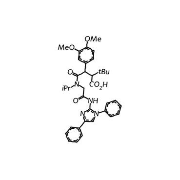 COc1ccc(C(C(=O)N(CC(=O)Nc2nc(-c3ccccc3)cn2-c2ccccc2)C(C)C)C(C(=O)O)C(C)(C)C)cc1OC